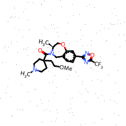 COCCC1(C(=O)N2Cc3ccc(-c4noc(C(F)(F)F)n4)cc3OC[C@@H]2C)CCN(C)CC1